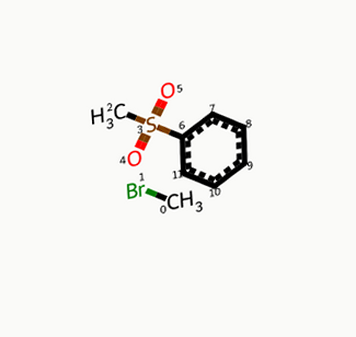 CBr.CS(=O)(=O)c1ccccc1